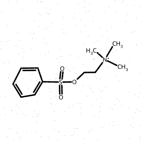 C[N+](C)(C)CCOS(=O)(=O)c1ccccc1